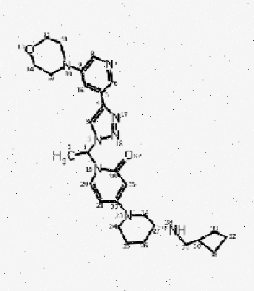 CC(n1cc(-c2cncc(N3CCOCC3)c2)nn1)n1ccc(N2CCC[C@@H](NCC3CCC3)C2)cc1=O